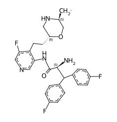 [CH2][C@H]1CO[C@H](CCc2c(F)cncc2NC(=O)[C@@H](N)C(c2ccc(F)cc2)c2ccc(F)cc2)CN1